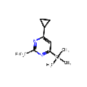 CCOC(=O)c1nc(C2CC2)c[c]([Sn]([CH3])([CH3])[CH3])n1